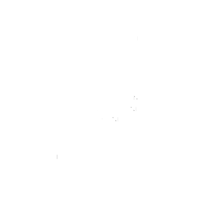 O=C(Nc1cc(-c2ccc(CO)cc2)n[nH]1)c1ccc(OC(F)(F)F)cc1